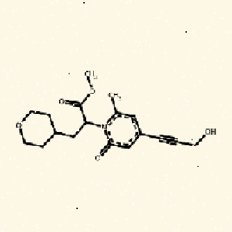 COC(=O)C(CC1CCOCC1)n1c(C)cc(C#CCO)cc1=O